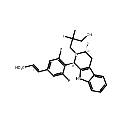 C[C@@H]1Cc2c([nH]c3ccccc23)[C@@H](c2c(F)cc(/C=C/C(=O)O)cc2F)N1CC(C)(F)CO